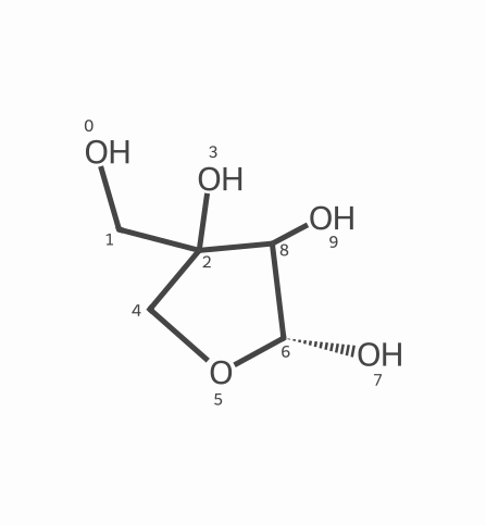 OCC1(O)CO[C@@H](O)C1O